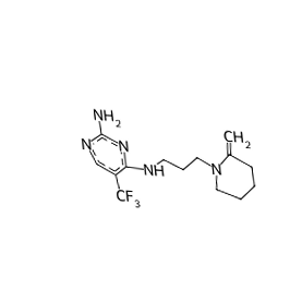 C=C1CCCCN1CCCNc1nc(N)ncc1C(F)(F)F